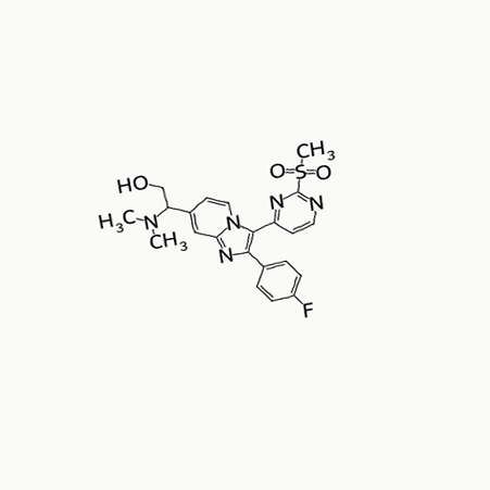 CN(C)C(CO)c1ccn2c(-c3ccnc(S(C)(=O)=O)n3)c(-c3ccc(F)cc3)nc2c1